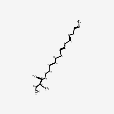 CCC=CCC=CCC=CCCCCCCCC(=O)C(N)CO